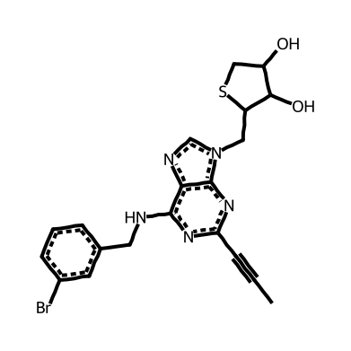 CC#Cc1nc(NCc2cccc(Br)c2)c2ncn(CC3SCC(O)C3O)c2n1